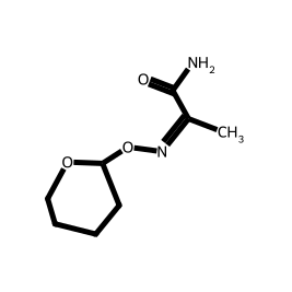 CC(=NOC1CCCCO1)C(N)=O